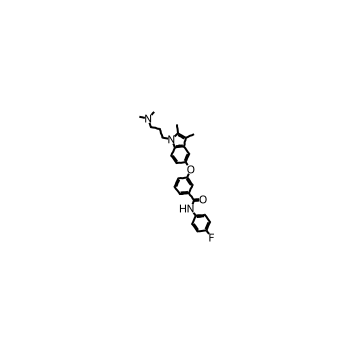 Cc1c(C)n(CCCN(C)C)c2ccc(Oc3cccc(C(=O)Nc4ccc(F)cc4)c3)cc12